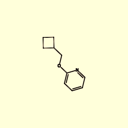 c1ccc(OCC2CCC2)nc1